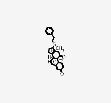 C[C@]12CC(=O)[C@H]3[C@@H](CCC4=CC(=O)C=C[C@@]43C)[C@@H]1CC[C@H]2SCCc1ccccc1